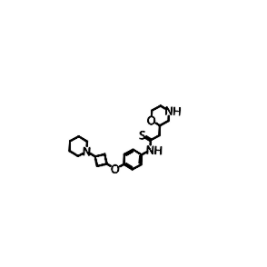 S=C(CC1CNCCO1)Nc1ccc(OC2CC(N3CCCCC3)C2)cc1